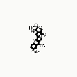 CC[C@@]1(O)C(=O)OCc2c1cc1n(c2=O)Cc2c-1nc1ccc(OC(C)=O)cc1c2C#N